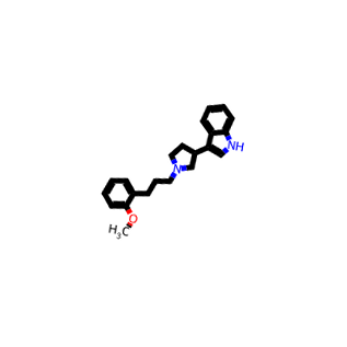 COc1ccccc1CCCN1CCC(c2c[nH]c3ccccc23)C1